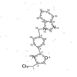 ClCc1coc(-c2ccc(Cn3cnc4ccccc43)cc2)n1